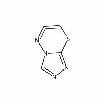 C1=CSc2nncn2N=1